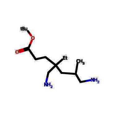 CCC(CN)(CCC(=O)OC(C)(C)C)CC(C)CN